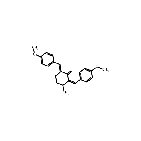 COc1ccc(/C=C2\C(=O)/C(=C/c3ccc(OC)cc3)CCC2C)cc1